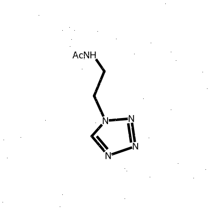 CC(=O)NCCn1cnnn1